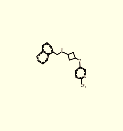 FC(F)(F)c1ccc(OC2CC(NCc3cccc4cnccc34)C2)cn1